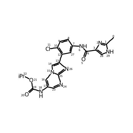 Cc1nc(C(=O)Nc2ccc(Cl)c(-c3cn4cc(NC(=O)OC(C)C)cnc4n3)c2)c[nH]1